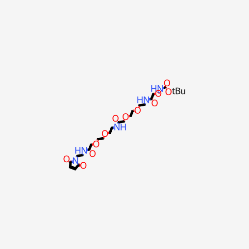 CC(C)(C)OC(=O)NOCC(=O)NCCOCCOCC(=O)NCCOCCOCC(=O)NCCN1C(=O)C=CC1=O